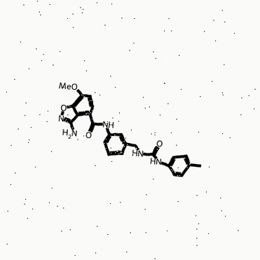 COc1ccc(C(=O)Nc2cccc(CNC(=O)Nc3ccc(C)cc3)c2)c2c(N)noc12